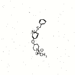 CS(=O)(=O)N1CCC(Oc2ccc(SCc3ccccc3)nc2)CC1